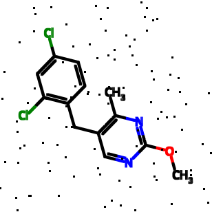 COc1ncc(Cc2ccc(Cl)cc2Cl)c(C)n1